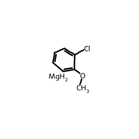 COc1ccccc1Cl.[MgH2]